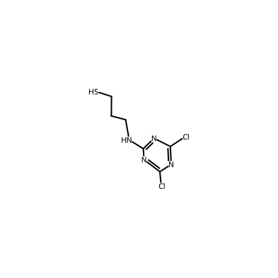 SCCCNc1nc(Cl)nc(Cl)n1